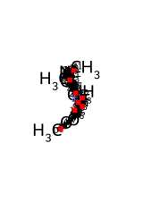 CCCCOCCOc1ccc(-c2ccc(C(F)(F)F)c(/C=C/C(=O)Nc3ccc([S@+]([O-])Cc4c(C)ncn4CCC)cc3)c2)cc1